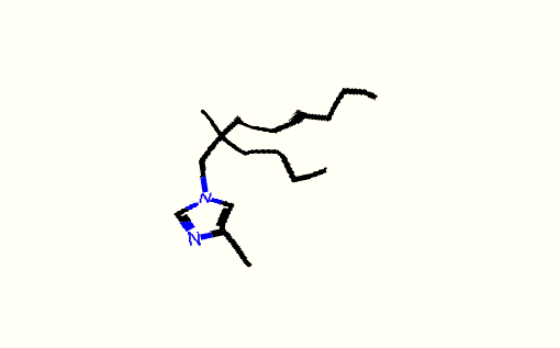 CCCCCCC(C)(CCCC)Cn1cnc(C)c1